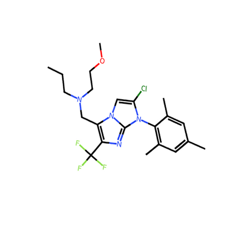 CCCN(CCOC)Cc1c(C(F)(F)F)nc2n(-c3c(C)cc(C)cc3C)c(Cl)cn12